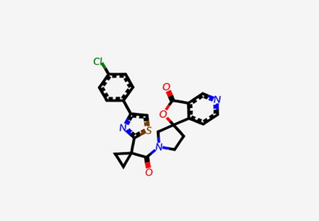 O=C1OC2(CCN(C(=O)C3(c4nc(-c5ccc(Cl)cc5)cs4)CC3)C2)c2ccncc21